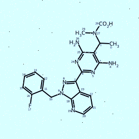 CC(c1c(N)nc(-c2nn(Cc3ccccc3F)c3ncccc23)nc1N)N(C)C(=O)O